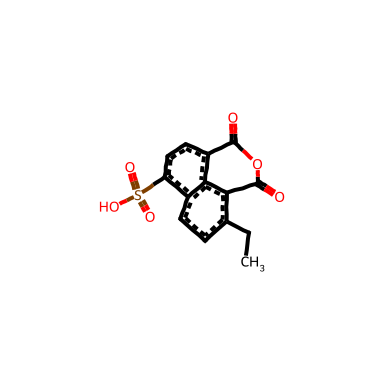 CCc1ccc2c(S(=O)(=O)O)ccc3c2c1C(=O)OC3=O